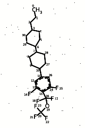 CCCC1CCC(C2CCC(c3cc(F)c(C(F)(F)OC(F)(F)F)c(F)c3)CC2)CC1